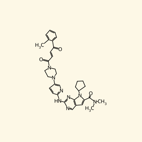 Cc1ccccc1C(=O)/C=C/C(=O)N1CCN(c2ccc(Nc3ncc4cc(C(=O)N(C)C)n(C5CCCC5)c4n3)nc2)CC1